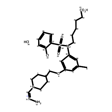 Cc1cc(OCC2CCN(/C=N\N)CC2)cc(N(CCCCCC(=O)O)S(=O)(=O)c2ccccc2Cl)c1.Cl